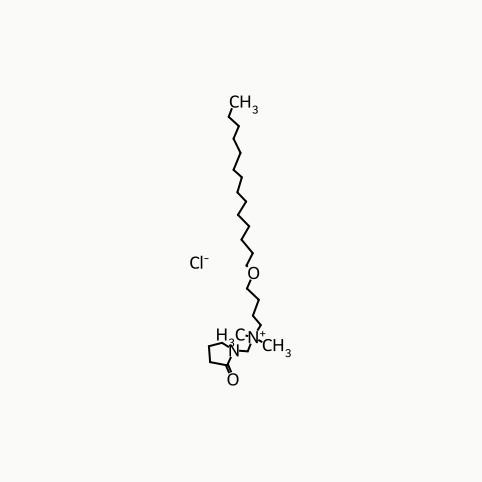 CCCCCCCCCCCCCCOCCCC[N+](C)(C)CN1CCCC1=O.[Cl-]